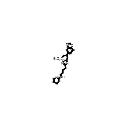 CCOC(=O)CC(Cc1nc(CCCCNC2=NCCCC2)no1)c1ccc2c(c1)OCO2